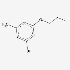 FCCOc1cc(Br)cc(C(F)(F)F)c1